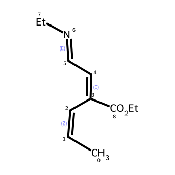 C\C=C/C(=C\C=N\CC)C(=O)OCC